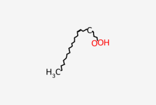 CCCCCCCCCCCCCC/C=C\CC=C=CCCC(=O)O